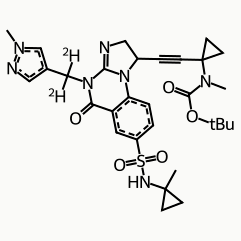 [2H]C([2H])(c1cnn(C)c1)N1C(=O)c2cc(S(=O)(=O)NC3(C)CC3)ccc2N2C1=NCC2C#CC1(N(C)C(=O)OC(C)(C)C)CC1